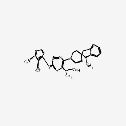 C[C@H](O)c1nc(Sc2ccnc(N)c2Cl)cnc1N1CCC2(CC1)Cc1ccccc1[C@H]2N